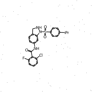 CC(C)c1ccc(S(=O)(=O)N2NCc3ccc(NC(=O)c4c(F)cccc4Cl)cc32)cc1